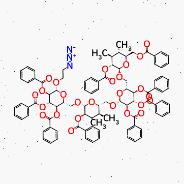 C[C@H]1[C@H](C)[C@@H](COC(=O)c2ccccc2)O[C@@H](OC[C@H]2O[C@@H](OC[C@H]3O[C@@H](OC[C@H]4O[C@@H](OCCN=[N+]=[N-])[C@H](OC(=O)c5ccccc5)[C@@H](OC(=O)c5ccccc5)[C@@H]4OC(=O)c4ccccc4)[C@H](OC(=O)c4ccccc4)[C@@H](C)[C@@H]3C)[C@H](OC(=O)c3ccccc3)[C@@H](OC(=O)c3ccccc3)[C@@H]2OC(=O)c2ccccc2)[C@@H]1OC(=O)c1ccccc1